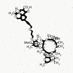 CC[C@H]1OC(=O)[C@H](C)[C@@H](O[C@H]2C[C@@](C)(OC)[C@@H](OCCCOCC#Cc3cc4c5c(c3)c(=O)c(C(=O)O)cn5C(C)(C)OC4)[C@H](C)O2)[C@H](C)[C@@H](O[C@@H]2O[C@H](C)C[C@H](N(C)C)[C@H]2O)[C@](C)(O)C[C@@H](C)CN(C)[C@H](C)[C@@H](O)[C@]1(C)O